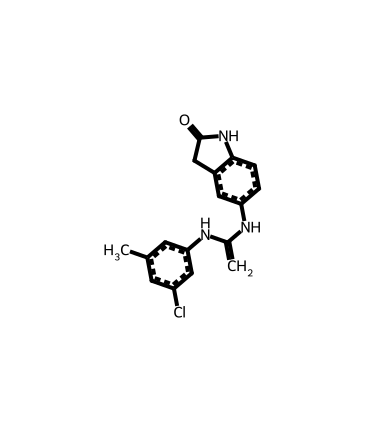 C=C(Nc1cc(C)cc(Cl)c1)Nc1ccc2c(c1)CC(=O)N2